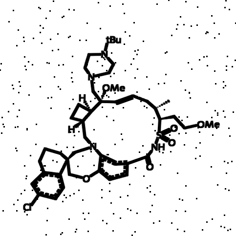 COCC[C@@H]1[C@@H](C)C/C=C/[C@@](CN2CCN(C(C)(C)C)CC2)(OC)[C@@H]2CC[C@H]2CN2C[C@@]3(CCCc4cc(Cl)ccc43)COc3ccc(cc32)C(=O)NS1(=O)=O